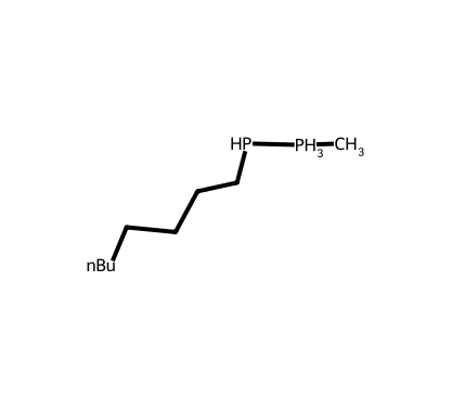 CCCCCCCCP[PH3]C